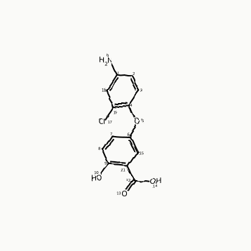 Nc1ccc(Oc2ccc(O)c(C(=O)O)c2)c(Cl)c1